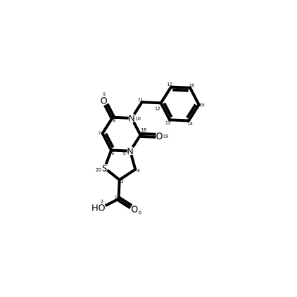 O=C(O)C1Cn2c(cc(=O)n(Cc3ccccc3)c2=O)S1